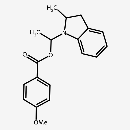 COc1ccc(C(=O)OC(C)N2c3ccccc3CC2C)cc1